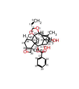 C=C[C@@H]1O[C@@H]2C3=C(C)[C@@H](O)C[C@@](O)([C@@H](OC(=O)c4ccccc4)[C@H]4[C@@](C)(CCC5OC[C@]54OC(C)=O)[C@@H]2O1)C3(C)C